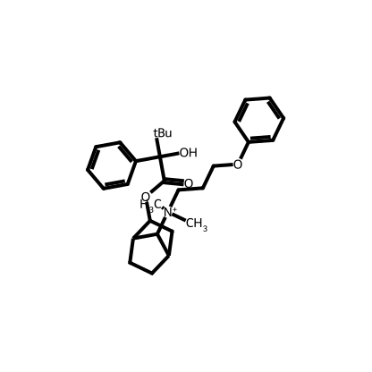 CC(C)(C)C(O)(C(=O)OC1CC2CCC1C2[N+](C)(C)CCCOc1ccccc1)c1ccccc1